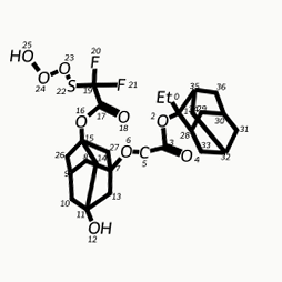 CCC1(OC(=O)COC23CC4CC(O)(C2)CC(OC(=O)C(F)(F)SOOO)(C4)C3)C2CC3CC(C2)CC1C3